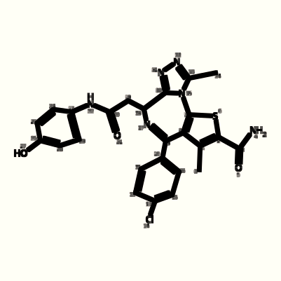 Cc1c(C(N)=O)sc2c1C(c1ccc(Cl)cc1)=NC(CC(=O)Nc1ccc(O)cc1)c1nnc(C)n1-2